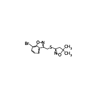 CC1(C)CC(SCc2noc3c(Br)cccc23)=NO1